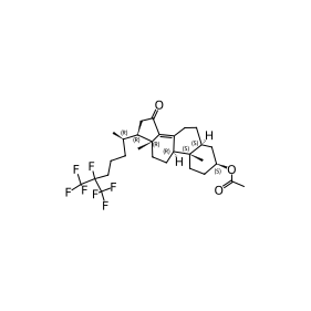 CC(=O)O[C@H]1CC[C@@]2(C)[C@@H](CCC3=C4C(=O)C[C@H]([C@H](C)CCCC(F)(C(F)(F)F)C(F)(F)F)[C@@]4(C)CC[C@@H]32)C1